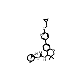 CC1(C)COc2cc(-c3ccc(OCC4CC4)nc3)ccc2C1NC(=O)O[C@H]1CN2CCC1CC2